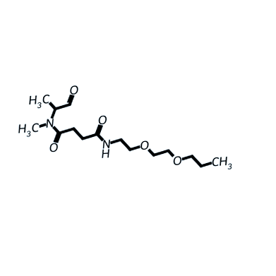 CCCOCCOCCNC(=O)CCC(=O)N(C)C(C)C=O